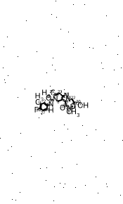 Cc1cc(NC(=O)N2Cc3c(nn4c3C(=O)N(C)O[C@@H](CO)C4)C[C@H]2C)ccc1F